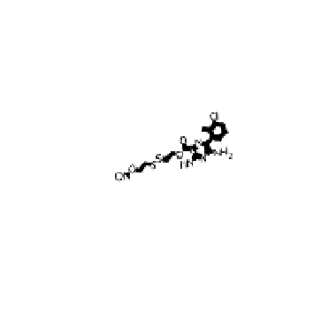 Cc1c(Cl)cccc1-c1nn(C(=O)OCCSSCCON=O)c(=N)nc1N